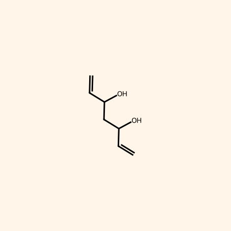 C=CC(O)CC(O)C=C